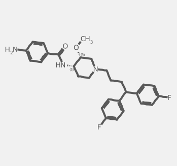 CO[C@@H]1CN(CCCC(c2ccc(F)cc2)c2ccc(F)cc2)CC[C@@H]1NC(=O)c1ccc(N)cc1